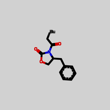 CCC(C)CC(=O)N1C(=O)OCC1Cc1ccccc1